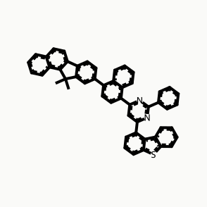 CC1(C)c2cc(-c3ccc(-c4cc(-c5cccc6sc7ccccc7c56)nc(-c5ccccc5)n4)c4ccccc34)ccc2-c2ccc3ccccc3c21